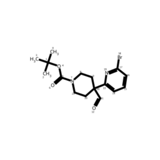 CC(C)(C)OC(=O)N1CCC(C=O)(c2cccc(Br)n2)CC1